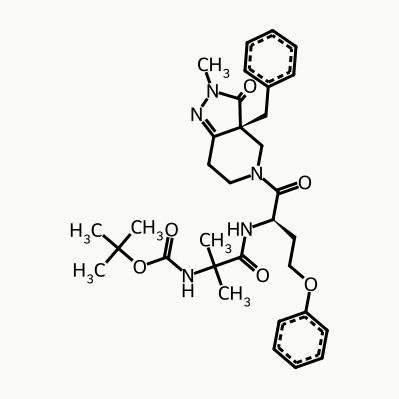 CN1N=C2CCN(C(=O)[C@@H](CCOc3ccccc3)NC(=O)C(C)(C)NC(=O)OC(C)(C)C)C[C@@]2(Cc2ccccc2)C1=O